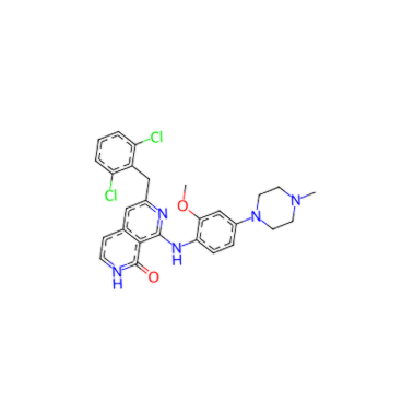 COc1cc(N2CCN(C)CC2)ccc1Nc1nc(Cc2c(Cl)cccc2Cl)cc2cc[nH]c(=O)c12